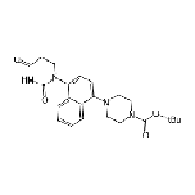 CC(C)(C)OC(=O)N1CCN(c2ccc(N3CCC(=O)NC3=O)c3ccccc23)CC1